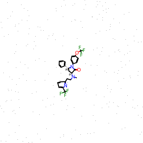 CN(CCc1cccc(C(F)(F)F)n1)[C@@H]1C[C@H](c2ccccc2)N(c2ccc(OC(F)(F)F)cc2)C1=O